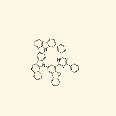 c1ccc(-c2nc(-c3ccccc3)nc(-c3cc(-n4c5cc6c(cc5c5ccc7ccccc7c54)c4cccc5c7ccccc7n6c54)cc4c3oc3ccccc34)n2)cc1